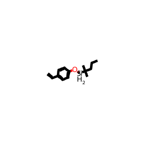 C=Cc1ccc(O[SiH2]C(C)(C)CCC)cc1